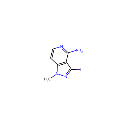 Cn1nc(I)c2c(N)nccc21